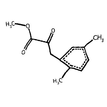 COC(=O)C(=O)Cc1cc(C)ccc1C